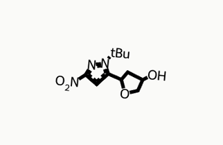 CC(C)(C)n1nc([N+](=O)[O-])cc1C1CC(O)CO1